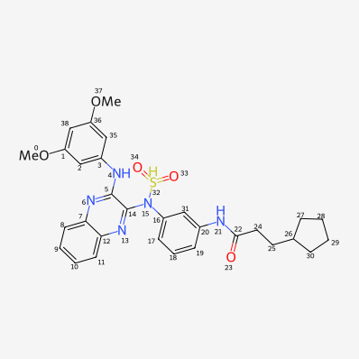 COc1cc(Nc2nc3ccccc3nc2N(c2cccc(NC(=O)CCC3CCCC3)c2)[SH](=O)=O)cc(OC)c1